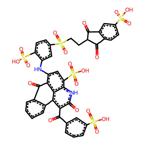 O=C(c1cccc(S(=O)(=O)O)c1)c1c2c3c(c(Nc4cc(S(=O)(=O)CCC5C(=O)c6ccc(S(=O)(=O)O)cc6C5=O)ccc4S(=O)(=O)O)cc(S(=O)(=O)O)c3[nH]c1=O)C(=O)c1ccccc1-2